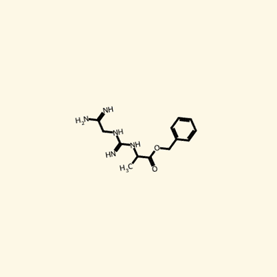 CC(NC(=N)NCC(=N)N)C(=O)OCc1ccccc1